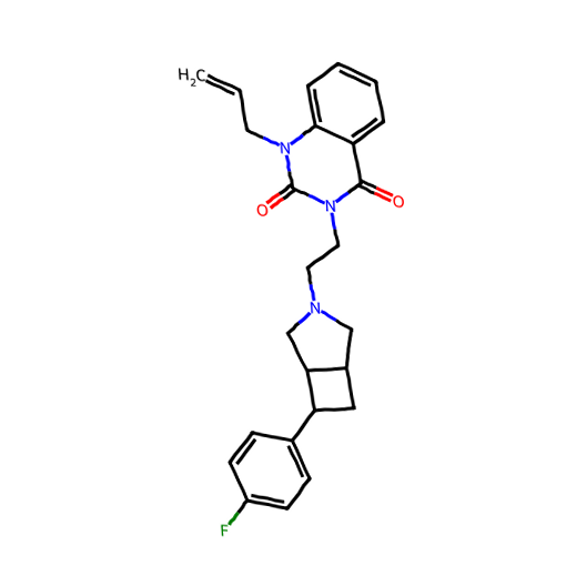 C=CCn1c(=O)n(CCN2CC3CC(c4ccc(F)cc4)C3C2)c(=O)c2ccccc21